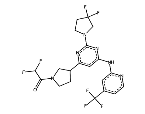 O=C(C(F)F)N1CCC(c2cc(Nc3cc(C(F)(F)F)ccn3)nc(N3CCC(F)(F)C3)n2)C1